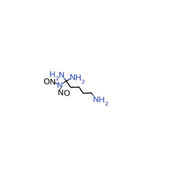 NCCCCC(N)(N)N(N=O)N=O